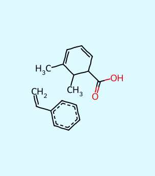 C=Cc1ccccc1.CC1=CC=CC(C(=O)O)C1C